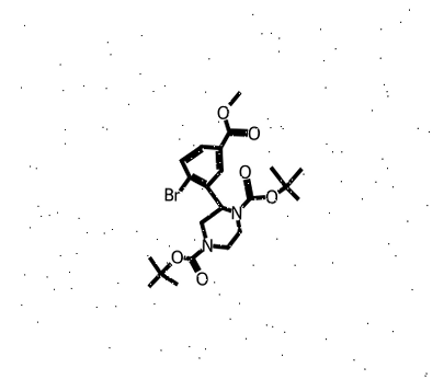 COC(=O)c1ccc(Br)c(C2CN(C(=O)OC(C)(C)C)CCN2C(=O)OC(C)(C)C)c1